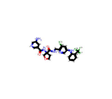 Nc1cncc(C(=O)NC2(C(=O)NCc3ncc(Nc4ccccc4C(F)(F)F)cc3F)CCOC2)c1